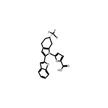 O=C(O)c1ccc(-n2c(-c3cc4ccccc4o3)cc3c2C[C@@H](C(F)(F)F)CC3)o1